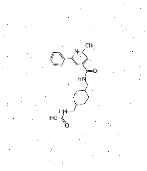 Cc1cc(C(=O)NCC2CCC(CNC(=O)O)CC2)cc(-c2ccccc2)n1